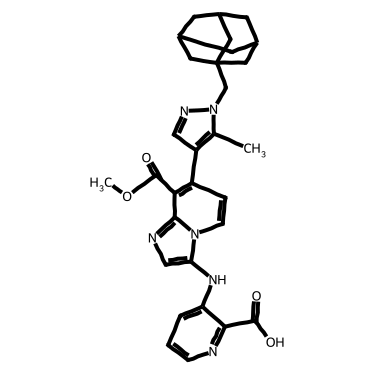 COC(=O)c1c(-c2cnn(CC34CC5CC(CC(C5)C3)C4)c2C)ccn2c(Nc3cccnc3C(=O)O)cnc12